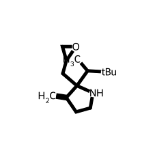 C=C1CCNC1(CC1CO1)C(C)C(C)(C)C